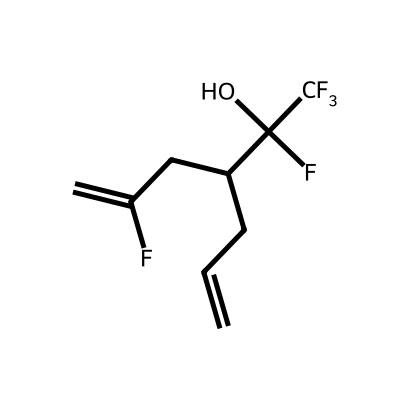 C=CCC(CC(=C)F)C(O)(F)C(F)(F)F